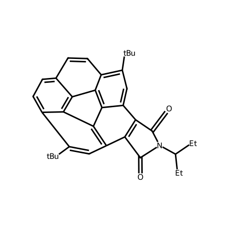 CCC(CC)n1c(=O)c2c3cc(C(C)(C)C)c4ccc5ccc6c(C(C)(C)C)cc(c2c1=O)c1c6c5c4c31